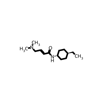 CC[C@H]1CC[C@H](NC(=O)/C=C/CN(C)C)CC1